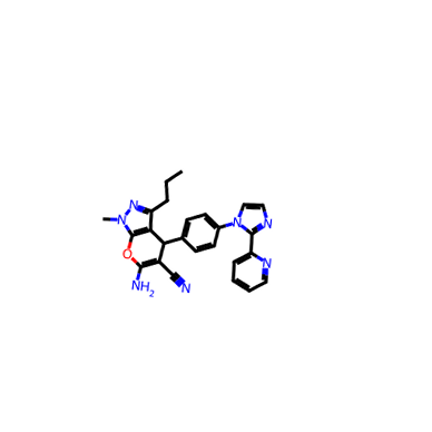 CCCc1nn(C)c2c1C(c1ccc(-n3ccnc3-c3ccccn3)cc1)C(C#N)=C(N)O2